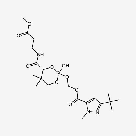 COC(=O)CCNC(=O)[C@@H]1O[P](O)(OCOC(=O)c2cc(C(C)(C)C)nn2C)OCC1(C)C